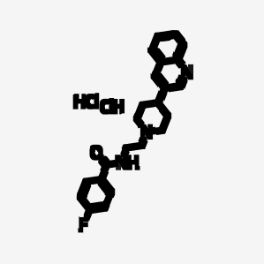 Cl.Cl.O=C(NCCN1CCC(c2cnc3ccccc3c2)CC1)c1ccc(F)cc1